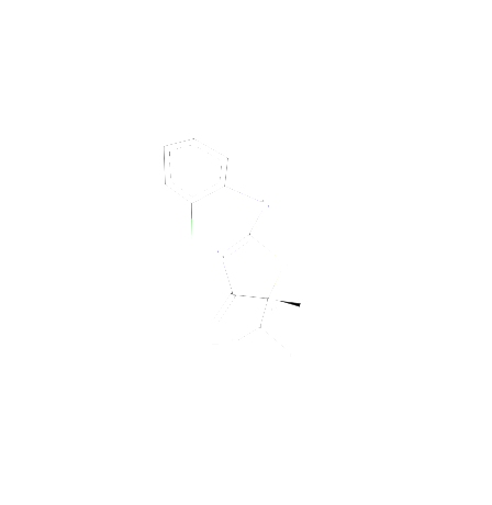 CC(C)[C@@]1(C)SC(Nc2ccccc2Cl)=NC1=O